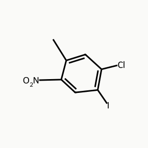 Cc1cc(Cl)c(I)cc1[N+](=O)[O-]